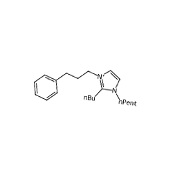 CCCCCn1cc[n+](CCCc2ccccc2)c1CCCC